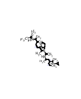 C=C(/C=C(\C=C/C)C(=C)NC1CC1)NC(=C)N1C(C)=C(/C=C\C(=C)C(=C)N[C@H](C)C(F)(F)F)N2CCC1C2